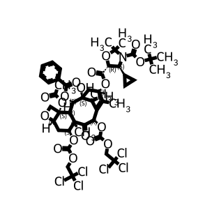 CC(=O)O[C@@]12CO[C@@H]1C[C@H](OC(=O)OCC(Cl)(Cl)Cl)[C@@]1(C)C(=O)[C@H](OC(=O)OCC(Cl)(Cl)Cl)C3=C(C)[C@@H](OC(=O)[C@@H]4OC(C)(C)N(C(=O)OC(C)(C)C)[C@H]4C4CC4)C[C@@](O)([C@@H](OC(=O)c4ccccc4)[C@H]21)C3(C)C